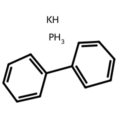 P.[KH].c1ccc(-c2ccccc2)cc1